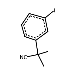 CC(C)(C#N)c1cccc(I)c1